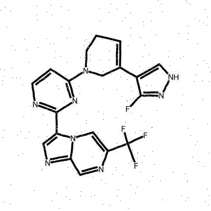 Fc1n[nH]cc1C1=CCCN(c2ccnc(-c3cnc4cnc(C(F)(F)F)cn34)n2)C1